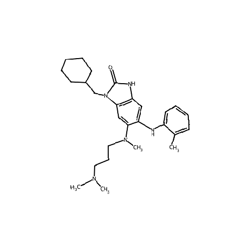 Cc1ccccc1Nc1cc2[nH]c(=O)n(CC3CCCCC3)c2cc1N(C)CCCN(C)C